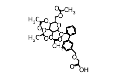 CC(=O)OC[C@H]1O[C@@H](Oc2ccccc2-c2cccc(COCC(=O)O)c2)[C@@H](OC(C)=O)[C@@H](OC(C)=O)[C@@H]1OC(C)=O